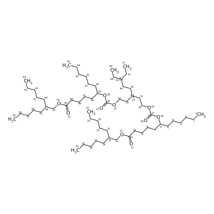 CCCCCCC(CCCCC(=O)OCC(CCCCC)CCCCC)OC(=O)OCCN(CCOC(=O)OC(CCCCCC)CCCCC(=O)OCC(CCCCC)CCCCC)CCN(CC)CC